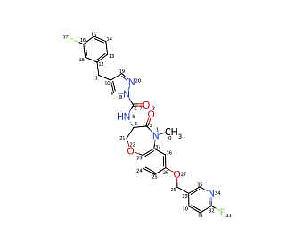 CN1C(=O)[C@@H](NC(=O)n2cc(Cc3cccc(F)c3)cn2)COc2ccc(OCc3ccc(F)nc3)cc21